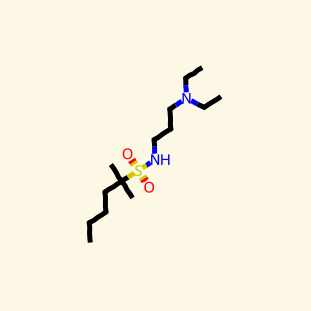 CCCCC(C)(C)S(=O)(=O)NCCCN(CC)CC